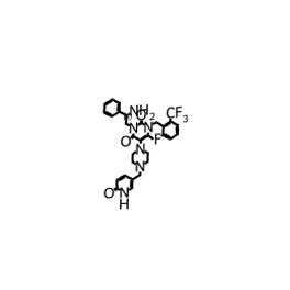 Cc1c(N2CCN(Cc3ccc(=O)[nH]c3)CC2)c(=O)n(C[C@H](N)c2ccccc2)c(=O)n1Cc1c(F)cccc1C(F)(F)F